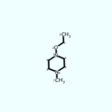 CCON1CCN(C)CC1